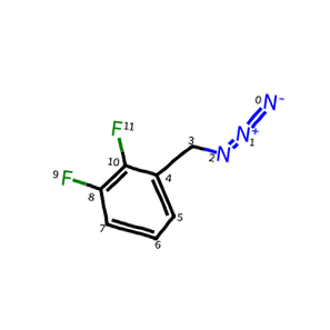 [N-]=[N+]=NCc1cccc(F)c1F